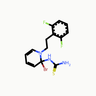 NC(=S)NC1(Br)C=CC=CN1CCc1c(F)cccc1F